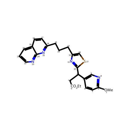 CCOC(=O)CC(c1ccc(OC)nc1)c1nc(CCCc2ccc3cccnc3n2)cs1